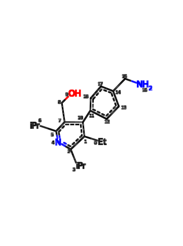 CCc1c(C(C)C)nc(C(C)C)c(CO)c1-c1ccc(CN)cc1